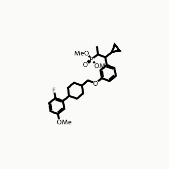 COc1ccc(F)c(C2CCC(COc3cccc(C(C4CC4)C(C)P(=O)(OC)OC)c3)CC2)c1